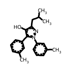 Cc1cccc(-c2c(O)c(CC(C)C)nn2-c2cccc(C)c2)c1